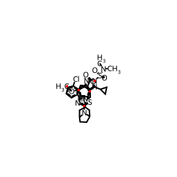 COc1cc(C(=O)NS(=O)(=O)N(C)C)cc2sc(N3C4CCC3CC(NCc3c(-c5c(Cl)cccc5Cl)noc3C3CC3)C4)nc12